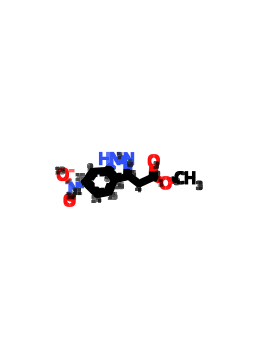 COC(=O)Cc1n[nH]c2cc([N+](=O)[O-])ccc12